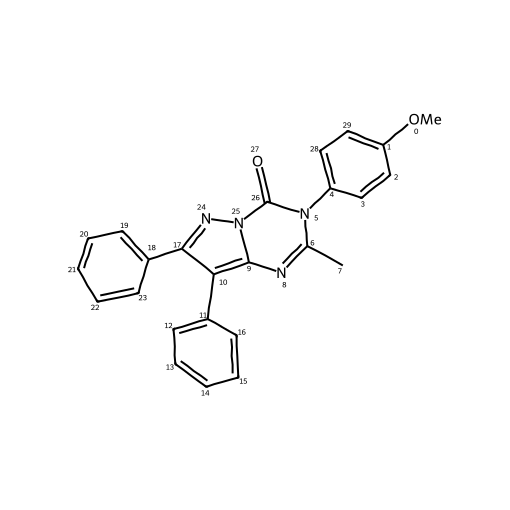 COc1ccc(-n2c(C)nc3c(-c4ccccc4)c(-c4ccccc4)nn3c2=O)cc1